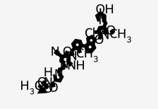 COc1nc(O[C@H]2CCc3c(-c4cccc(-c5nc6c(=N)n(CCN7CC[C@@H](C(=O)NS(=O)(=O)C8(C)CC8)C7)cc(C#N)c6o5)c4C)cccc32)c(Cl)cc1CN1CC[C@@H](O)C1